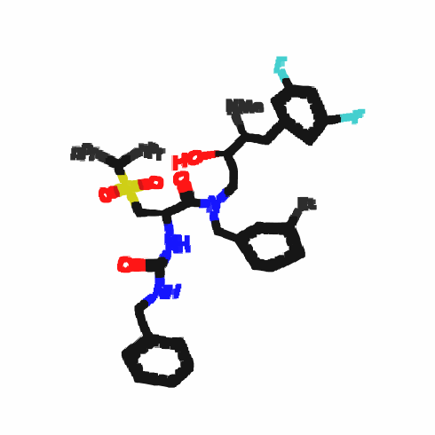 CCCC(CCC)S(=O)(=O)C[C@H](NC(=O)NCc1ccccc1)C(=O)N(Cc1cccc(CC)c1)C[C@@H](O)[C@H](Cc1cc(F)cc(F)c1)NC